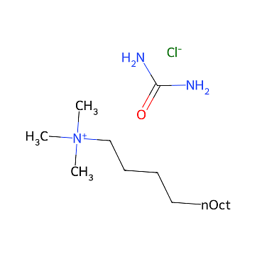 CCCCCCCCCCCC[N+](C)(C)C.NC(N)=O.[Cl-]